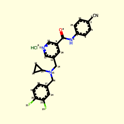 Cl.N#Cc1ccc(NC(=O)c2cncc(CN(Cc3ccc(F)c(F)c3)C3CC3)c2)cc1